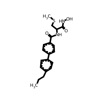 CCCc1ccc(-c2ccc(C(=O)NC(CSC)C(=O)NO)cc2)cc1